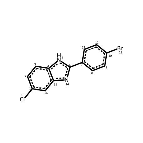 Clc1ccc2[nH]c(-c3ccc(Br)cc3)nc2c1